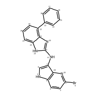 Brc1ccc2[nH]cc(Nc3nc4c(-c5ccccc5)cccc4[nH]3)c2n1